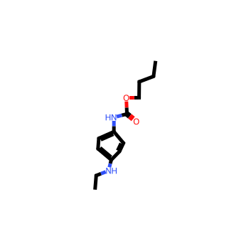 CCCCOC(=O)Nc1ccc(NCC)cc1